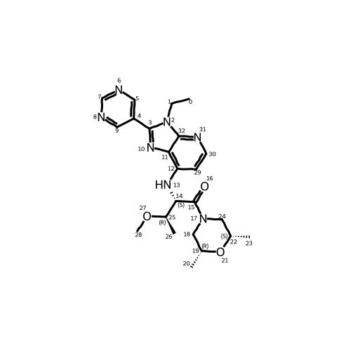 CCn1c(-c2cncnc2)nc2c(N[C@H](C(=O)N3C[C@@H](C)O[C@@H](C)C3)[C@@H](C)OC)ccnc21